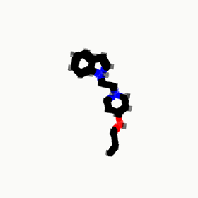 CCCOC1CCN(CCn2ccc3ccccc32)CC1